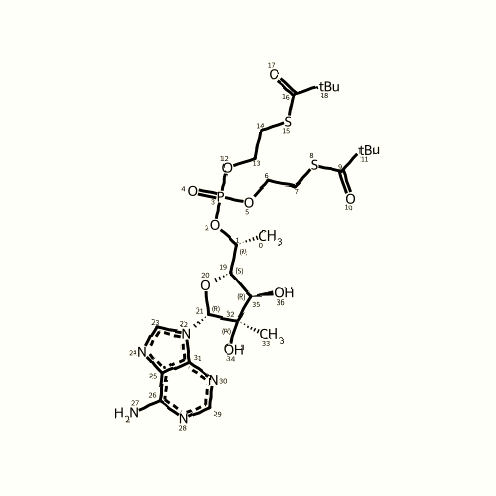 C[C@@H](OP(=O)(OCCSC(=O)C(C)(C)C)OCCSC(=O)C(C)(C)C)[C@H]1O[C@@H](n2cnc3c(N)ncnc32)[C@](C)(O)[C@@H]1O